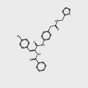 O=C(Cc1ccc(NC(=O)/C(=C\c2ccc(Cl)cc2)NC(=O)c2ccccc2)cc1)NCc1ccco1